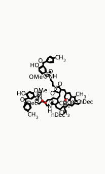 CCCCCCCCCCCCCCCCC(C)CC(C(=O)NCCCNS(=O)(=O)c1cc(C(=O)c2ccc(C)cc2)c(O)cc1OC)C(C(=O)O)C(CCCCCCCCCCCCCCCC)CC1C(=O)N(CCCNS(=O)(=O)c2cc(C(=O)c3ccc(C)cc3)c(O)cc2OC)C(=O)C1CC(CCCCCCCCCCCCCCCC)CC1C(=O)OC(=O)C1C